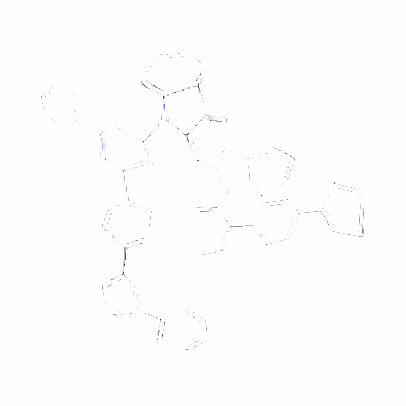 c1ccc(-c2ccc(-c3ccccc3-n3c4ccccc4c4cc5c6ccccc6n(-c6nc(-c7ccccc7)nc(-c7ccc(-c8cccc(-c9ccccc9)c8)cc7)n6)c5cc43)cc2)cc1